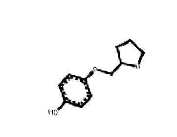 Oc1ccc(OCC2CCCO2)cc1